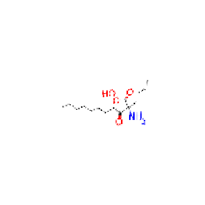 CCCCCCCCC(=O)C(N)(CCCC)C(=O)OO